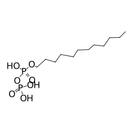 CCCCCCCCCCCCOP(=O)(O)OP(=O)(O)O